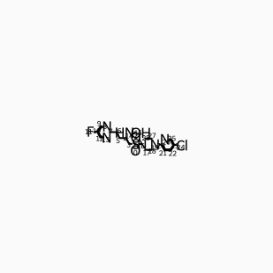 O=S(=O)(CC(CCc1ncc(F)cn1)NO)N1CCN(c2ccc(Cl)cn2)CC1